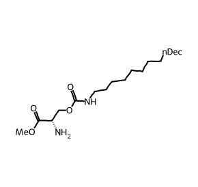 CCCCCCCCCCCCCCCCCCNC(=O)OC[C@H](N)C(=O)OC